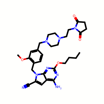 CCCCOc1nc(N)c2cc(C#N)n(Cc3ccc(CN4CCN(CCN5C(=O)CCC5=O)CC4)cc3OC)c2n1